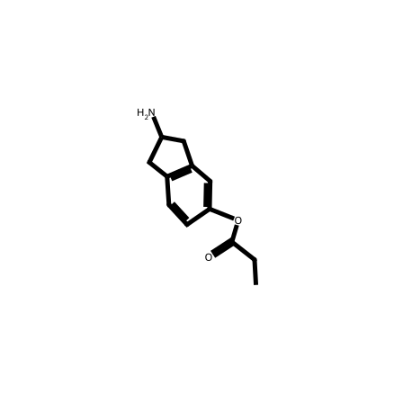 CCC(=O)Oc1ccc2c(c1)CC(N)C2